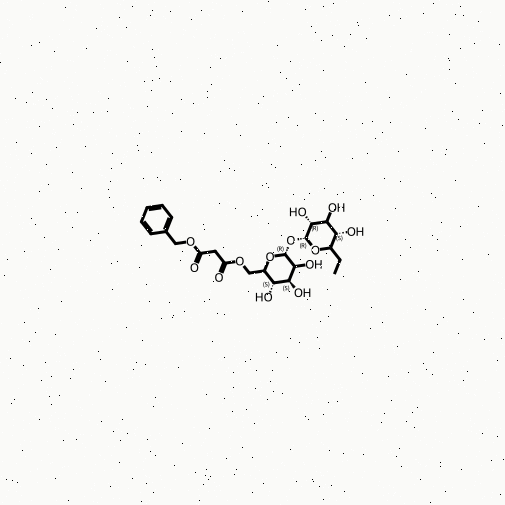 CCC1O[C@H](O[C@H]2OC(COC(=O)CC(=O)OCc3ccccc3)[C@@H](O)[C@H](O)C2O)[C@H](O)C(O)[C@@H]1O